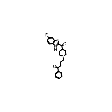 O=C(CCCN1CCC(C(=O)c2nc3cc(F)ccc3[nH]2)CC1)c1ccccc1